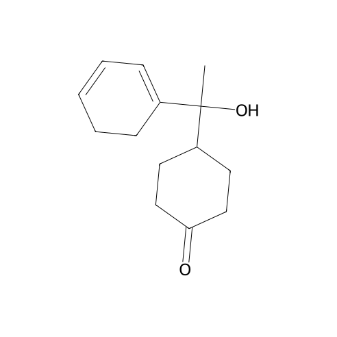 CC(O)(C1=CC=CCC1)C1CCC(=O)CC1